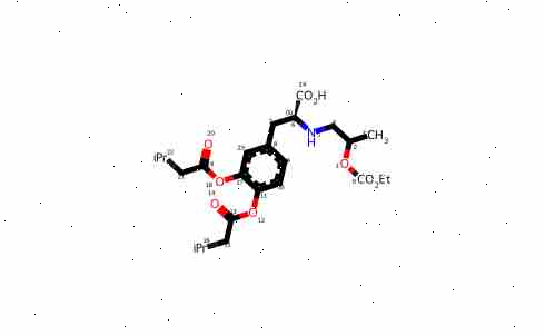 CCOC(=O)OC(C)CN[C@@H](Cc1ccc(OC(=O)CC(C)C)c(OC(=O)CC(C)C)c1)C(=O)O